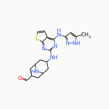 Cc1cc(Nc2nc(NC3CC4CC(C=O)CC(C3)N4)nc3sccc23)n[nH]1